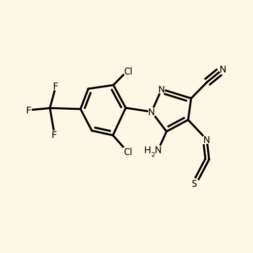 N#Cc1nn(-c2c(Cl)cc(C(F)(F)F)cc2Cl)c(N)c1N=C=S